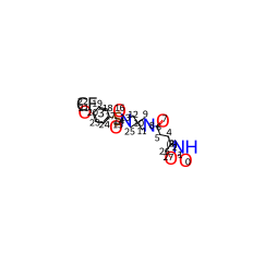 O=C1N[C@H](CCC(=O)N2CC3(C2)CN(S(=O)(=O)c2ccc(OC(F)(F)F)cc2)C3)CO1